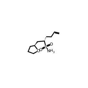 C=CCC[C@@H](C[C@@H]1CCCO1)S(N)(=O)=O